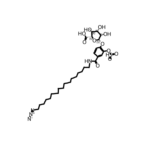 [N-]=[N+]=NCCCCCCCCCCCCCCCCCNC(=O)c1ccc(O[C@@H]2O[C@H](C(=O)O)[C@H](O)[C@H](O)[C@@H]2O)c(O[SH](=O)=O)c1